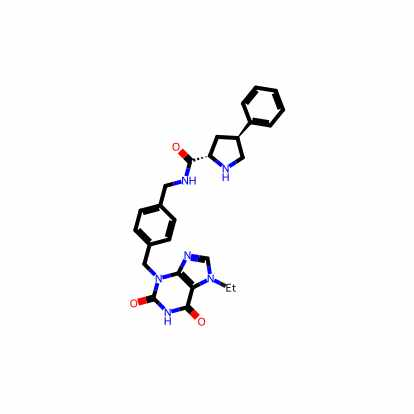 CCn1cnc2c1c(=O)[nH]c(=O)n2Cc1ccc(CNC(=O)[C@@H]2C[C@@H](c3ccccc3)CN2)cc1